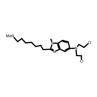 CNCCCCCCCc1nc2cc(N(CCCl)CCCl)ccc2n1C